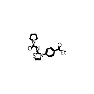 CCC(=O)c1ccc(-n2ccsc2=NC(=O)N2CCCC2)cc1